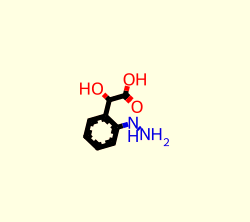 NNc1ccccc1C(O)C(=O)O